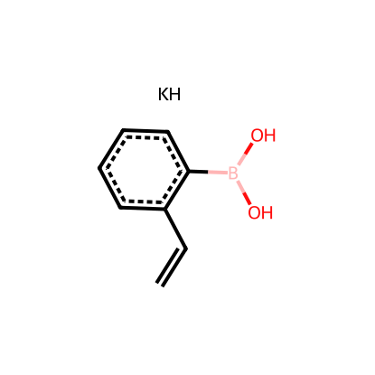 C=Cc1ccccc1B(O)O.[KH]